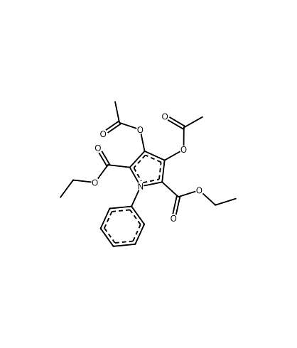 CCOC(=O)c1c(OC(C)=O)c(OC(C)=O)c(C(=O)OCC)n1-c1ccccc1